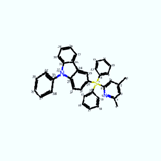 Cc1cc(C)nc(S(c2ccccc2)(c2ccccc2)c2ccc3c(c2)c2ccccc2n3-c2ccccc2)c1